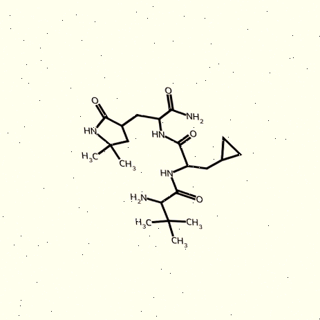 CC1(C)CC(CC(NC(=O)C(CC2CC2)NC(=O)C(N)C(C)(C)C)C(N)=O)C(=O)N1